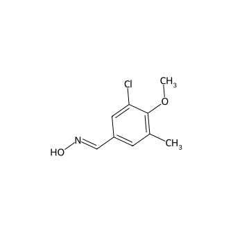 COc1c(C)cc(C=NO)cc1Cl